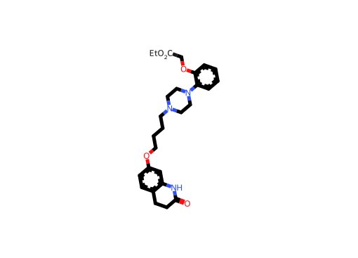 CCOC(=O)COc1ccccc1N1CCN(CCCCOc2ccc3c(c2)NC(=O)CC3)CC1